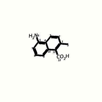 Cc1ccc2c(N)cccc2c1C(=O)O